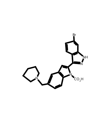 O=C(O)n1c(-c2n[nH]c3cc(Br)ccc23)cc2cc(CN3CCCCC3)ccc21